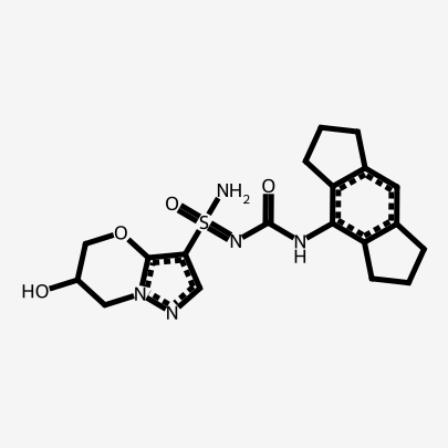 NS(=O)(=NC(=O)Nc1c2c(cc3c1CCC3)CCC2)c1cnn2c1OCC(O)C2